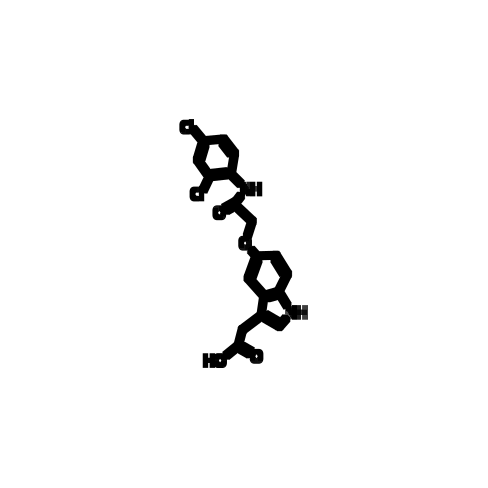 O=C(O)Cc1c[nH]c2ccc(OCC(=O)Nc3ccc(Cl)cc3Cl)cc12